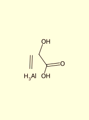 C=C.O=C(O)CO.[AlH3]